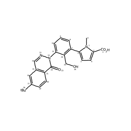 Cn1c(C(=O)O)ccc1-c1cccc(-n2ncc3cc(C(C)(C)C)ccc3c2=O)c1CO